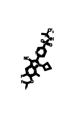 Cc1c(OC(F)F)c(F)cc2c(C#N)c(-c3ccc(S(=O)(=O)N[C@@H](C)C(F)(F)F)cn3)n(C3CCC3)c12